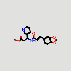 COC(=O)CC(NC(=O)/C=C/c1ccc2c(c1)OCO2)c1cccnc1